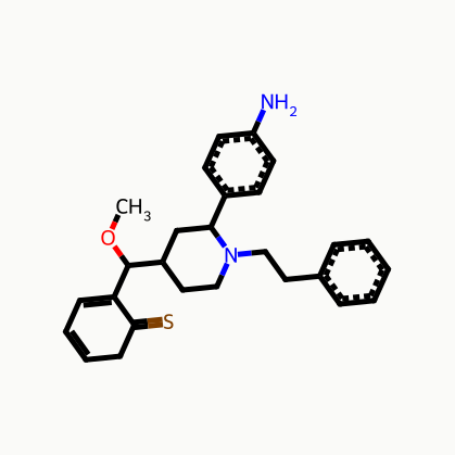 COC(C1=CC=CCC1=S)C1CCN(CCc2ccccc2)C(c2ccc(N)cc2)C1